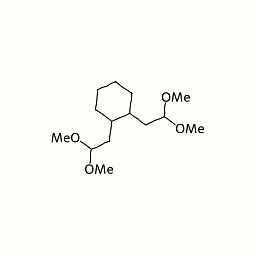 COC(CC1CCCCC1CC(OC)OC)OC